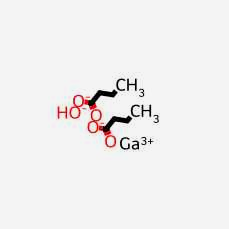 CCCC(=O)[O-].CCCC(=O)[O-].[Ga+3].[OH-]